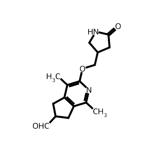 Cc1nc(OCC2CNC(=O)C2)c(C)c2c1CC(C=O)C2